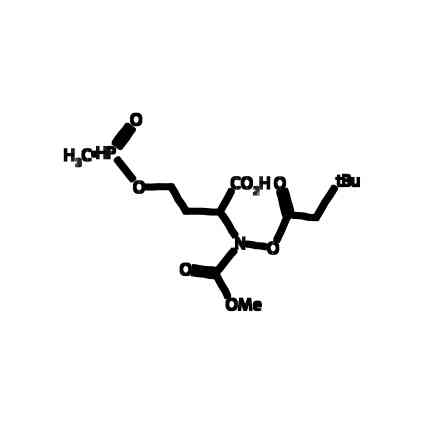 COC(=O)N(OC(=O)CC(C)(C)C)C(CCO[PH](C)=O)C(=O)O